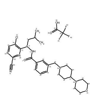 CC(C)CN(NC(=O)c1cccc(CN2CCC(N3CCOCC3)CC2)c1)c1nc(C#N)ncc1Cl.O=C(O)C(F)(F)F